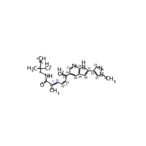 C#CC(C)(C)CNC(=O)/C(C)=C/C=C\C(=C)c1cnc2[nH]c(-c3cnn(C)c3)cc2c1